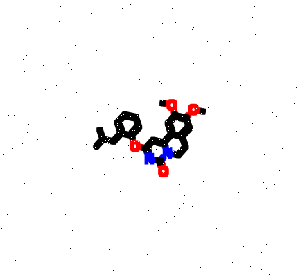 COc1cc2c(cc1OC)-c1cc(Oc3ccccc3CC(C)C)nc(=O)n1CC2